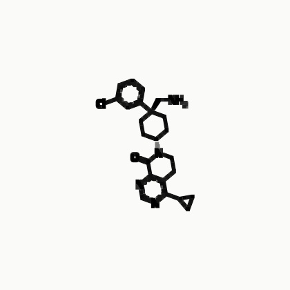 NC[C@]1(c2cccc(Cl)c2)CC[C@@H](N2CCc3c(ncnc3C3CC3)C2=O)CC1